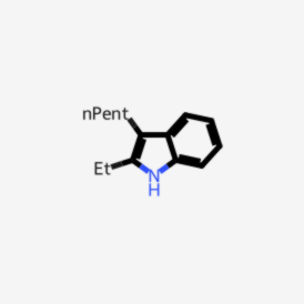 CCCCCc1c(CC)[nH]c2ccccc12